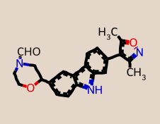 Cc1noc(C)c1-c1ccc2c(c1)[nH]c1ccc(C3CN(C=O)CCO3)cc12